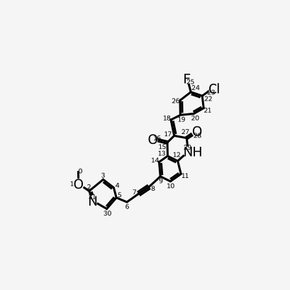 COc1ccc(CC#Cc2ccc3c(c2)C(=O)/C(=C/c2ccc(Cl)c(F)c2)C(=O)N3)cn1